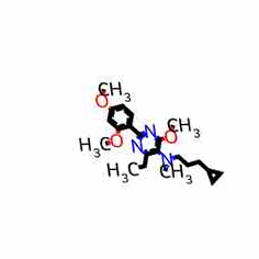 CCc1nc(-c2ccc(OC)cc2OC)nc(OC)c1N(C)CCCC1CC1